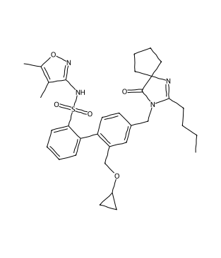 CCCCC1=NC2(CCCC2)C(=O)N1Cc1ccc(-c2ccccc2S(=O)(=O)Nc2noc(C)c2C)c(COC2CC2)c1